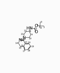 CC(C)(C)OC(=O)NC1CCN(C2=NCCc3ccccc32)CC1